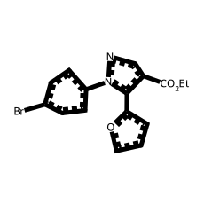 CCOC(=O)c1cnn(-c2ccc(Br)cc2)c1-c1ccco1